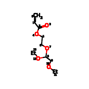 C=CC(=O)OCCOC(COCC)OCC